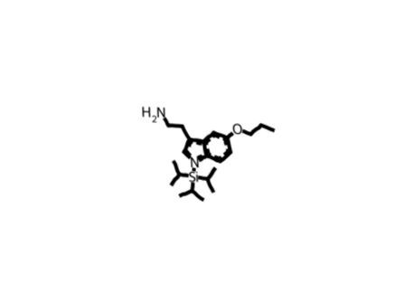 CCCOc1ccc2c(c1)c(CCN)cn2[Si](C(C)C)(C(C)C)C(C)C